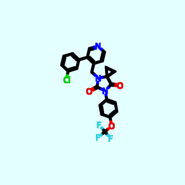 O=C1N(c2ccc(OC(F)(F)F)cc2)C(=O)C2(CC2)N1Cc1ccncc1-c1cccc(Cl)c1